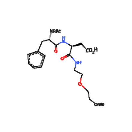 COCCOCCNC(=O)[C@H](CC(=O)O)NC(=O)[C@H](Cc1ccccc1)NC(C)=O